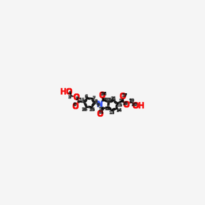 O=C(OCO)c1ccc(N2C(=O)c3ccc(C(=O)OCO)cc3C2=O)cc1